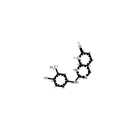 Cc1cc(Nc2ncc3ccc(=O)oc3n2)ccc1F